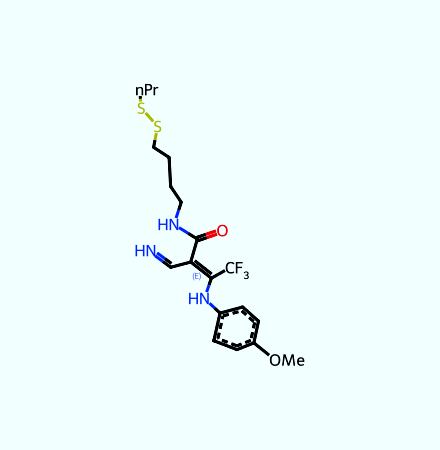 CCCSSCCCCNC(=O)/C(C=N)=C(/Nc1ccc(OC)cc1)C(F)(F)F